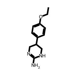 CCOc1ccc(C2CN=C(N)NC2)cc1